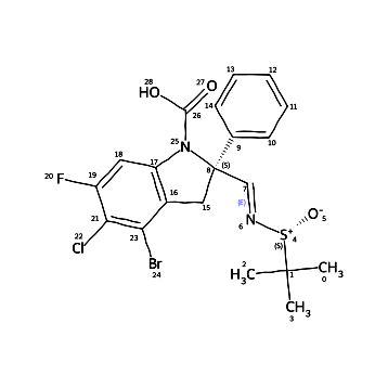 CC(C)(C)[S@@+]([O-])/N=C/[C@@]1(c2ccccc2)Cc2c(cc(F)c(Cl)c2Br)N1C(=O)O